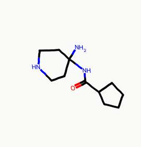 NC1(NC(=O)C2CCCC2)CCNCC1